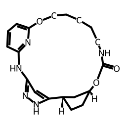 O=C1NCCCCCOc2cccc(n2)Nc2cc([nH]n2)[C@H]2CC[C@H](C2)O1